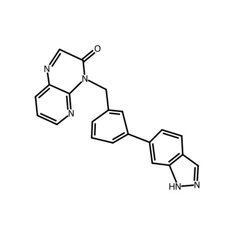 O=c1cnc2cccnc2n1Cc1cccc(-c2ccc3cn[nH]c3c2)c1